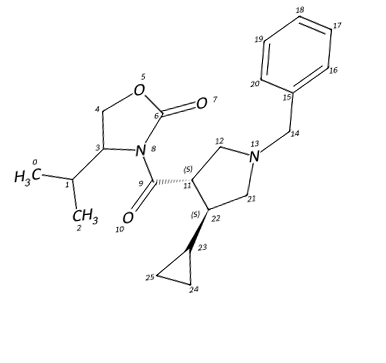 CC(C)C1COC(=O)N1C(=O)[C@@H]1CN(Cc2ccccc2)C[C@H]1C1CC1